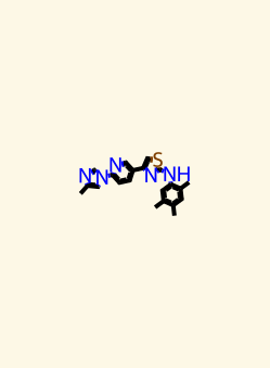 Cc1cn(-c2ccc(-c3csc(Nc4cc(C)c(C)cc4C)n3)cn2)cn1